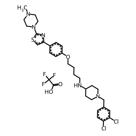 CN1CCN(c2nc(-c3ccc(OCCCCNC4CCN(Cc5ccc(Cl)c(Cl)c5)CC4)cc3)cs2)CC1.O=C(O)C(F)(F)F